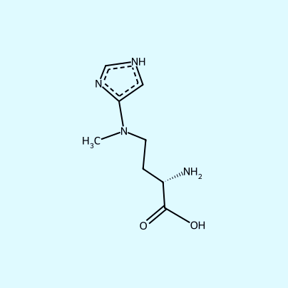 CN(CC[C@H](N)C(=O)O)c1c[nH]cn1